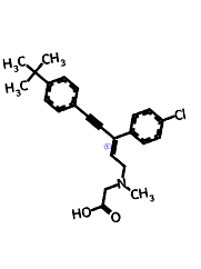 CN(C/C=C(/C#Cc1ccc(C(C)(C)C)cc1)c1ccc(Cl)cc1)CC(=O)O